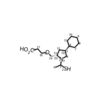 CC(S)N1C[C@H](C2CCCCC2)C[C@H]1COCCC(=O)O